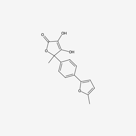 Cc1ccc(-c2ccc(C3(C)OC(=O)C(O)=C3O)cc2)o1